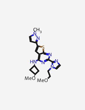 COCCn1ccnc1-c1nc(N[C@H]2C[C@@H](OC)C2)c2cc(-c3ccn(C)n3)sc2n1